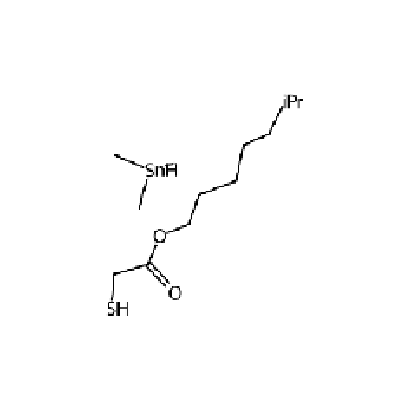 CC(C)CCCCCOC(=O)CS.[CH3][SnH]([CH3])[CH3]